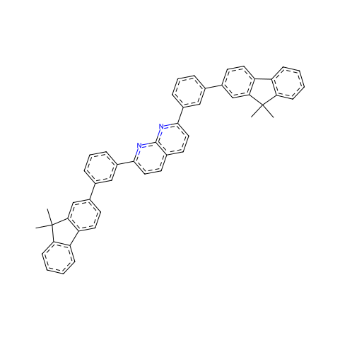 CC1(C)c2ccccc2-c2ccc(-c3cccc(-c4ccc5ccc(-c6cccc(-c7ccc8c(c7)C(C)(C)c7ccccc7-8)c6)nc5n4)c3)cc21